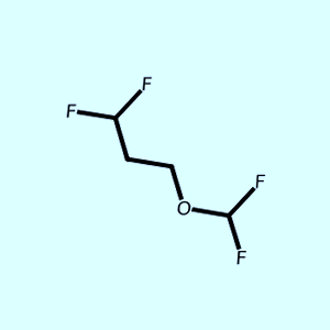 FC(F)CCOC(F)F